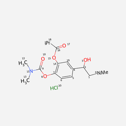 CNCC(O)c1ccc(OC(=O)N(C)C)c(OC(=O)C(C)C)c1.Cl